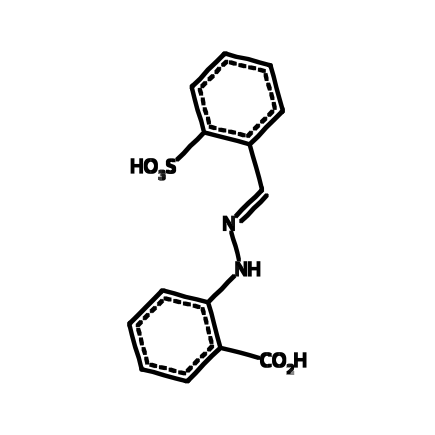 O=C(O)c1ccccc1N/N=C/c1ccccc1S(=O)(=O)O